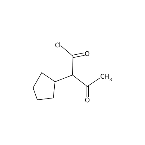 CC(=O)C(C(=O)Cl)C1CCCC1